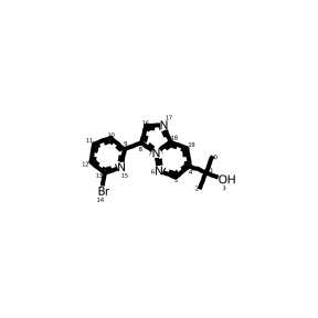 CC(C)(O)c1cnn2c(-c3cccc(Br)n3)cnc2c1